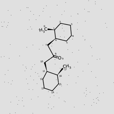 C[C@H]1CCCC[C@H]1CC(=O)C[C@@H]1CCCC[C@@H]1C